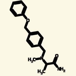 CC(C(N)=O)N(C)Cc1ccc(COc2ccccc2)cc1